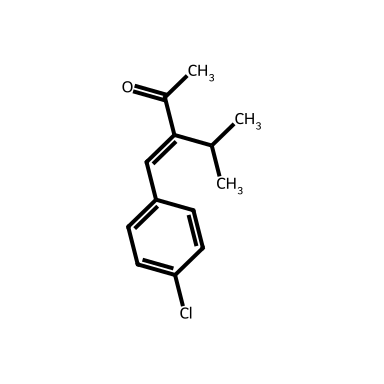 CC(=O)/C(=C/c1ccc(Cl)cc1)C(C)C